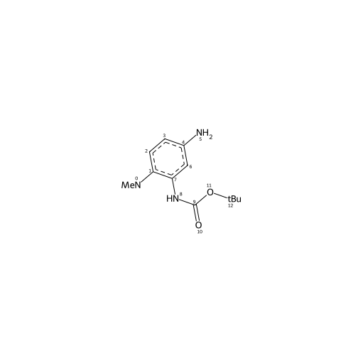 CNc1ccc(N)cc1NC(=O)OC(C)(C)C